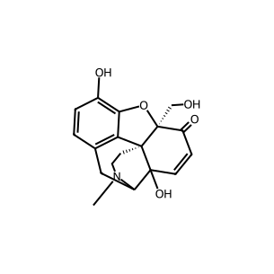 CN1CC[C@]23c4c5ccc(O)c4O[C@@]2(CO)C(=O)C=CC3(O)C1C5